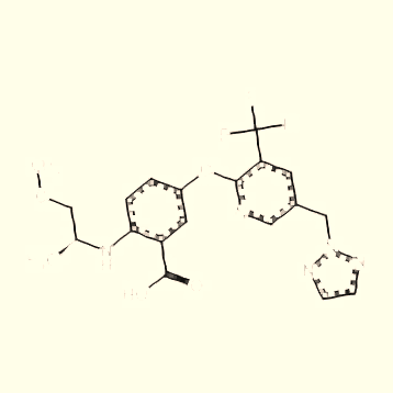 COC[C@H](C)Nc1ccc(Oc2ncc(Cn3nccn3)cc2C(F)(F)F)cc1C(=O)O